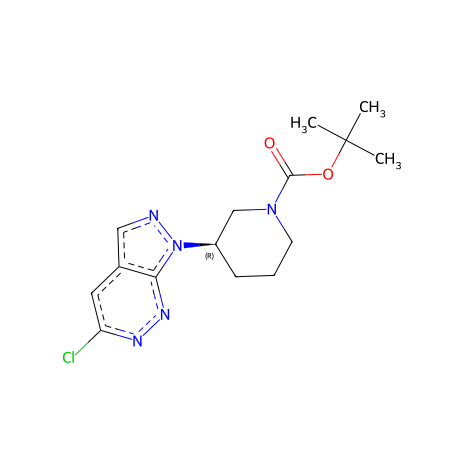 CC(C)(C)OC(=O)N1CCC[C@@H](n2ncc3cc(Cl)nnc32)C1